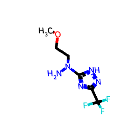 COCCN(N)c1nc(C(F)(F)F)n[nH]1